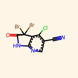 N#Cc1cnc2c(c1Cl)C(Br)(Br)C(=O)N2